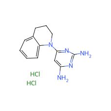 Cl.Cl.Nc1cc(N2CCCc3ccccc32)nc(N)n1